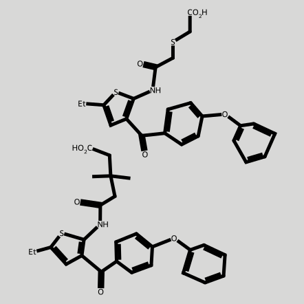 CCc1cc(C(=O)c2ccc(Oc3ccccc3)cc2)c(NC(=O)CC(C)(C)CC(=O)O)s1.CCc1cc(C(=O)c2ccc(Oc3ccccc3)cc2)c(NC(=O)CSCC(=O)O)s1